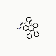 C/C=C\C=C/C(C)c1ccccc1N1c2ccccc2C(c2ccccc2)=C(c2ccccc2)c2ccccc21